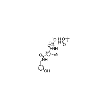 COC(=O)[C@H](CNC(=O)OC(C)(C)C)NC(=O)c1sc(C(=O)NCc2cccc(O)c2)cc1C#N